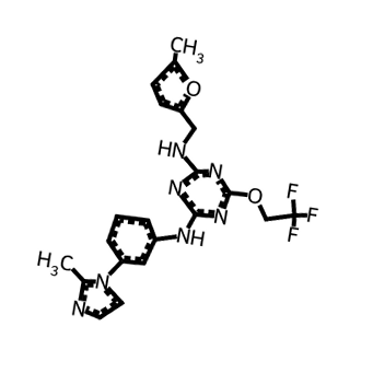 Cc1ccc(CNc2nc(Nc3cccc(-n4ccnc4C)c3)nc(OCC(F)(F)F)n2)o1